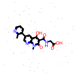 Cc1ncccc1-c1cnc2c(c1)c(O)c(C(=O)NCC(=O)O)c(=O)n2C